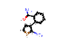 NC(=O)c1ccccc1-c1ccsc1N